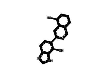 Oc1cccc2cnc(-c3ccc4nc[nH]c4c3O)cc12